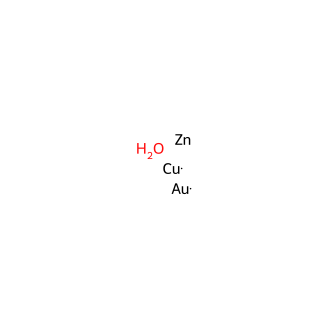 O.[Au].[Cu].[Zn]